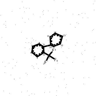 FC(F)(F)c1c[c]ccc1-c1ccccc1